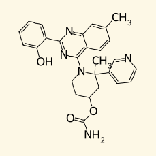 Cc1ccc2c(N3CCC(OC(N)=O)CC3(C)c3cccnc3)nc(-c3ccccc3O)nc2c1